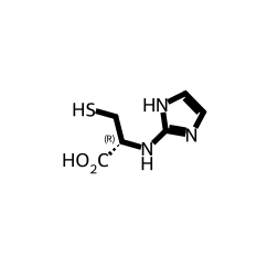 O=C(O)[C@H](CS)Nc1ncc[nH]1